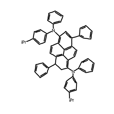 CC(C)c1ccc(N(C2=c3ccc4c(-c5ccccc5)cc(N(c5ccccc5)c5ccc(C(C)C)cc5)c5ccc(c3c45)C(c3ccccc3)C2)c2ccccc2)cc1